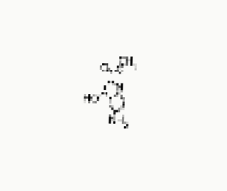 COC(=O)c1cc(O)c2cc(N)ccc2n1